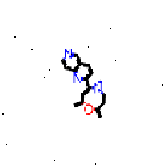 C=C1/C=C(/c2ccc3cnccc3n2)N(C)CCC(=C)O1